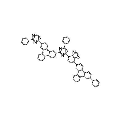 c1ccc(-c2ccc3c4ccc(-c5ccc(-c6nc(-c7ccccc7)nc(-c7ccc8c9ccccc9c9cc(-c%10ncnc(-c%11ccccc%11)n%10)ccc9c8c7)n6)c6ncsc56)cc4c4ccccc4c3c2)cc1